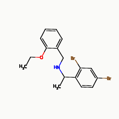 CCOc1ccccc1CNC(C)c1ccc(Br)cc1Br